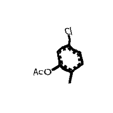 CC(=O)Oc1cc(Cl)ccc1C